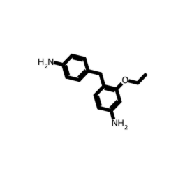 CCOc1cc(N)ccc1Cc1ccc(N)cc1